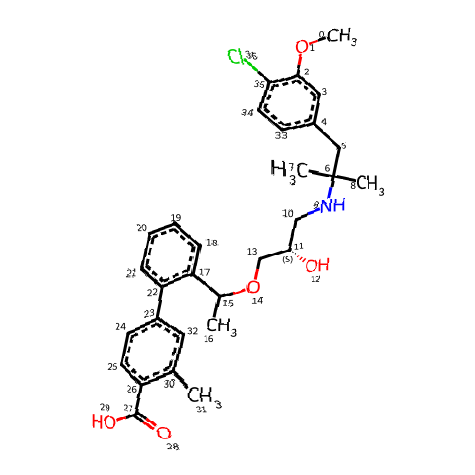 COc1cc(CC(C)(C)NC[C@H](O)COC(C)c2ccccc2-c2ccc(C(=O)O)c(C)c2)ccc1Cl